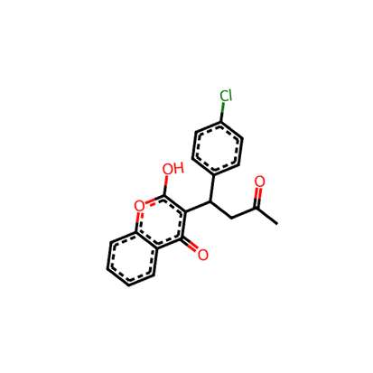 CC(=O)CC(c1ccc(Cl)cc1)c1c(O)oc2ccccc2c1=O